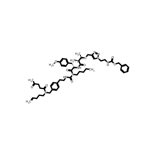 C=CCCCN(Cc1ccc(CCNC(=O)N(CCCCC)C(=O)[C@H](Cc2ccc(OC)cc2)NC(=O)[C@@H](N)[C@@H](C)OCc2cn(CCNC(=O)OCc3ccccc3)nn2)cc1)C(=O)CCC(C)=O